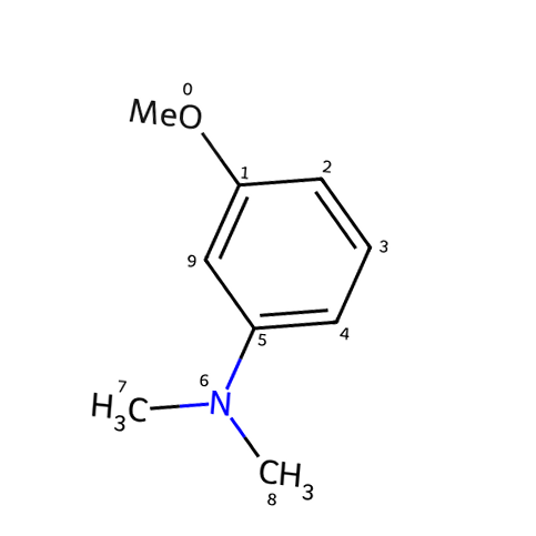 [CH2]Oc1cccc(N(C)C)c1